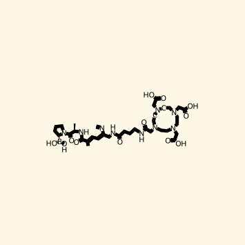 C=N/C(=C\C=C(/C)C(=O)N[C@H](C)C(=O)N1CCC[C@H]1B(O)O)CNC(=O)CCCNC(=O)CN1CCN(CC(=O)O)CCN(CC(=O)O)CCN(CC(=O)O)CC1